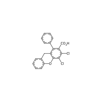 O=C(O)c1c(Cl)c(Cl)c2c(c1-c1ccccc1)Cc1ccccc1O2